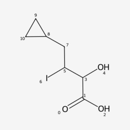 O=C(O)C(O)C(I)CC1CC1